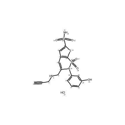 C#CCNCC1=Cc2cc(S(N)(=O)=O)sc2S(=O)(=O)N1c1cccc(O)c1.Cl